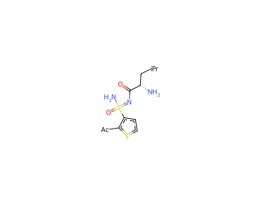 CC(=O)c1sccc1S(N)(=O)=NC(=O)[C@@H](N)CC(C)C